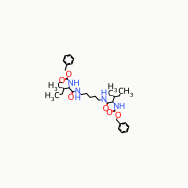 CCC(C)C(NC(=O)OCc1ccccc1)C(=O)NCCCCCNC(=O)C(NC(=O)OCc1ccccc1)C(C)CC